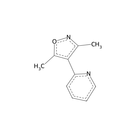 Cc1noc(C)c1-c1ccccn1